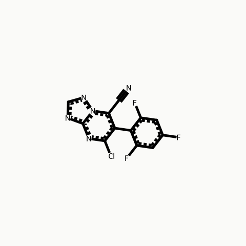 N#Cc1c(-c2c(F)cc(F)cc2F)c(Cl)nc2ncnn12